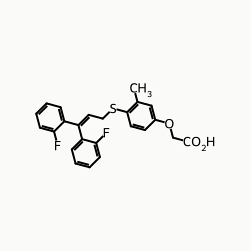 Cc1cc(OCC(=O)O)ccc1SCC=C(c1ccccc1F)c1ccccc1F